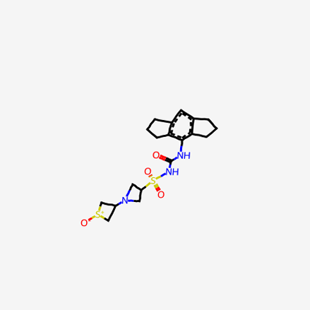 O=C(Nc1c2c(cc3c1CCC3)CCC2)NS(=O)(=O)C1CN(C2C[S+]([O-])C2)C1